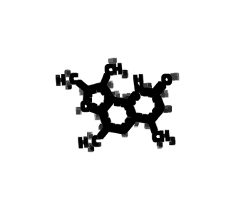 Cc1oc2c(C)cc3c(C)cc(=O)[nH]c3c2c1C